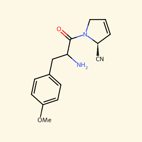 COc1ccc(CC(N)C(=O)N2CC=C[C@H]2C#N)cc1